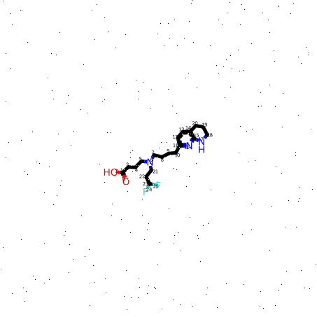 O=C(O)CCCN(CCCCc1ccc2c(n1)NCCC2)CCC(F)F